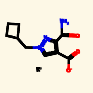 NC(=O)c1nn(CC2CCC2)cc1C(=O)[O-].[K+]